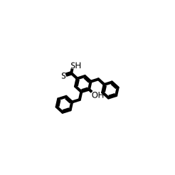 Oc1c(Cc2ccccc2)cc(C(=S)S)cc1Cc1ccccc1